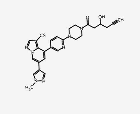 C#CCC(O)CC(=O)N1CCN(c2ccc(-c3cc(-c4cnn(C)c4)cn4ncc(C#N)c34)cn2)CC1